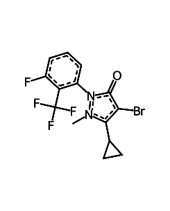 Cn1c(C2CC2)c(Br)c(=O)n1-c1cccc(F)c1C(F)(F)F